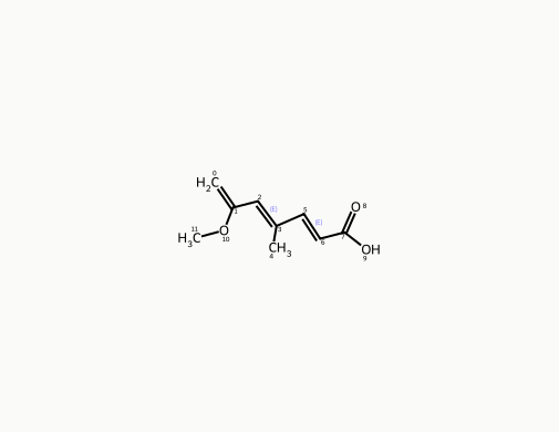 C=C(/C=C(C)/C=C/C(=O)O)OC